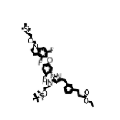 CCOC(=O)CCc1cccc(Cc2cc(NCCO[Si](C)(C)C(C)(C)C)n(-c3cc(Oc4c(F)cc5c(ccn5COCC[Si](C)(C)C)c4F)ccc3F)n2)c1